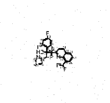 OC(Cn1cnnn1)(c1ccc(F)cc1F)C(F)(F)c1ccc2cccc(C(F)F)c2n1